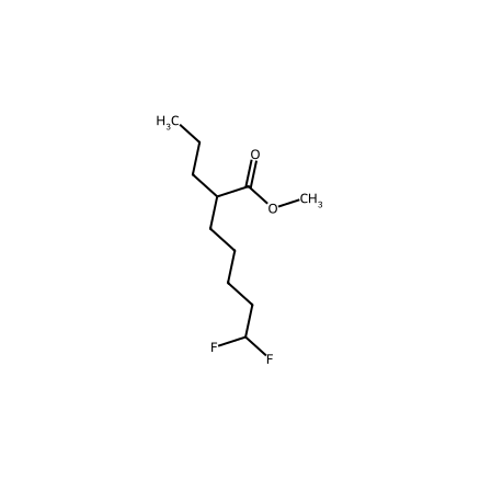 CCCC(CCCCC(F)F)C(=O)OC